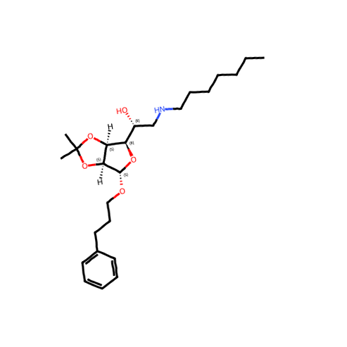 CCCCCCCNC[C@@H](O)[C@H]1O[C@H](OCCCc2ccccc2)[C@H]2OC(C)(C)O[C@H]21